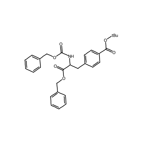 CC(C)(C)OC(=O)c1ccc(CC(NC(=O)OCc2ccccc2)C(=O)OCc2ccccc2)cc1